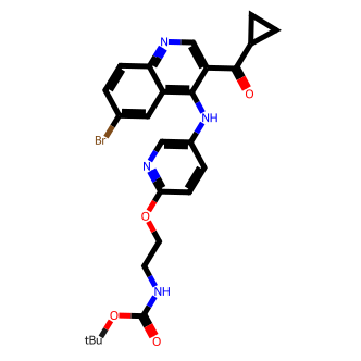 CC(C)(C)OC(=O)NCCOc1ccc(Nc2c(C(=O)C3CC3)cnc3ccc(Br)cc23)cn1